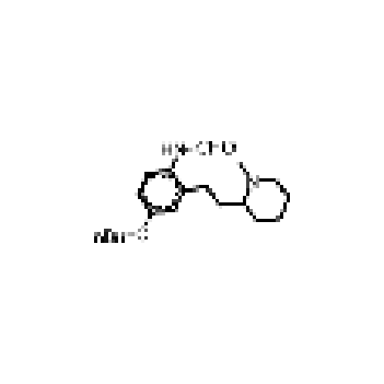 CCCCOc1ccc(NC=O)c(CCC2CCCCN2C)c1